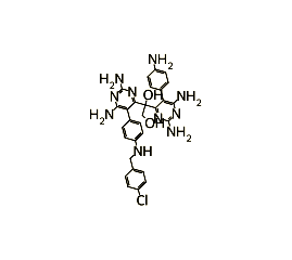 Nc1ccc(-c2c(N)nc(N)nc2C(O)(CO)c2nc(N)nc(N)c2-c2ccc(NCc3ccc(Cl)cc3)cc2)cc1